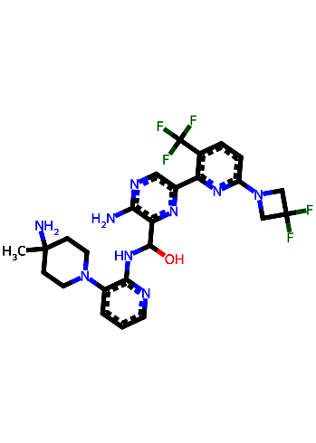 CC1(N)CCN(c2cccnc2NC(O)c2nc(-c3nc(N4CC(F)(F)C4)ccc3C(F)(F)F)cnc2N)CC1